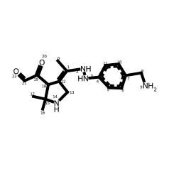 CC(NNc1ccc(CN)cc1)=C1CNC(C)(C)C1C(=O)C=O